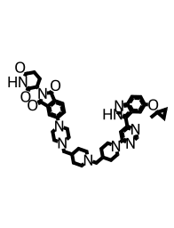 CC1(Oc2ccc3n[nH]c(-c4cc(N5CCC(CN6CCC(CN7CCN(c8ccc9c(c8)C(=O)N(C8CCC(=O)NC8=O)C9=O)CC7)CC6)CC5)ncn4)c3c2)CC1